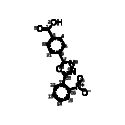 O=C(O)c1ccc(-c2nnc(-c3ccccc3[N+](=O)[O-])o2)cc1